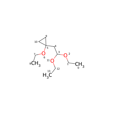 CCOC(CC1(OCC)CC1)OCC